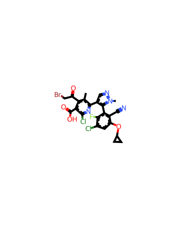 Cc1c(-c2cnn(C)c2-c2c(F)c(Cl)cc(OC3CC3)c2C#N)nc(Cl)c(C(=O)O)c1C(=O)CBr